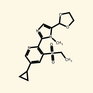 CCS(=O)(=O)c1cc(C2CC2)cnc1-c1ncc(C2OCCO2)n1C